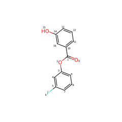 O=C(Oc1[c]c(F)ccc1)c1cccc(O)c1